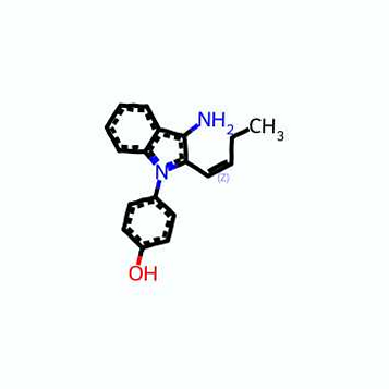 CC/C=C\c1c(N)c2ccccc2n1-c1ccc(O)cc1